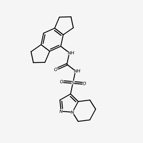 O=C(Nc1c2c(cc3c1CCC3)CCC2)NS(=O)(=O)c1cnn2c1CCCC2